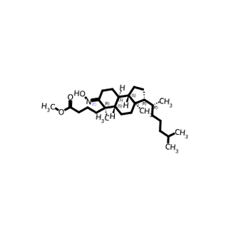 COC(=O)CCC[C@@]1(C)/C(=N/O)CC[C@H]2[C@@H]3CC[C@H]([C@H](C)CCCC(C)C)[C@@]3(C)CC[C@@H]21